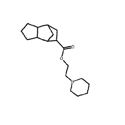 O=C(OCCN1CCCCC1)C1CC2CC1C1CCCC21